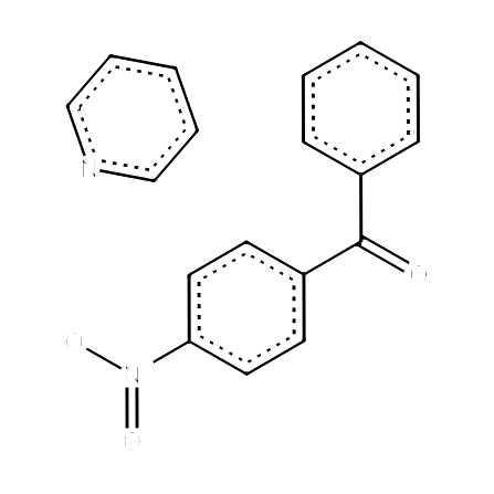 O=C(c1ccccc1)c1ccc([N+](=O)[O-])cc1.c1ccncc1